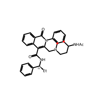 CC[C@H](NC(=O)c1c(CN2CCC(NC(C)=O)CC2)n(-c2ccccc2)c(=O)c2ccccc12)c1ccccc1